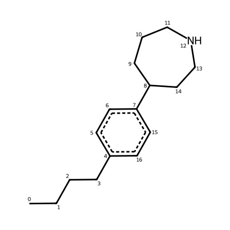 CCCCc1ccc(C2CCCNCC2)cc1